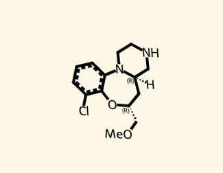 COC[C@H]1C[C@@H]2CNCCN2c2cccc(Cl)c2O1